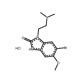 COc1cc2[nH]c(=O)n(CCN(C)C)c2cc1Br.Cl